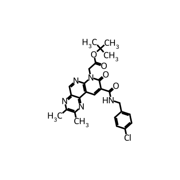 Cc1nc2cnc3c(cc(C(=O)NCc4ccc(Cl)cc4)c(=O)n3CC(=O)OC(C)(C)C)c2nc1C